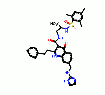 Cc1cc(C)c(S(=O)(=O)NC(CNC(=O)c2c(CCc3ccccc3)[nH]c3cc(CNc4ncc[nH]4)ccc3c2=O)C(=O)O)c(C)c1